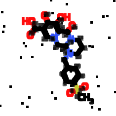 CS(=O)(=O)c1ccc(CN2CCCN3C(=O)c4c(O)c(=O)c(C(=O)O)cn4CC23)cc1